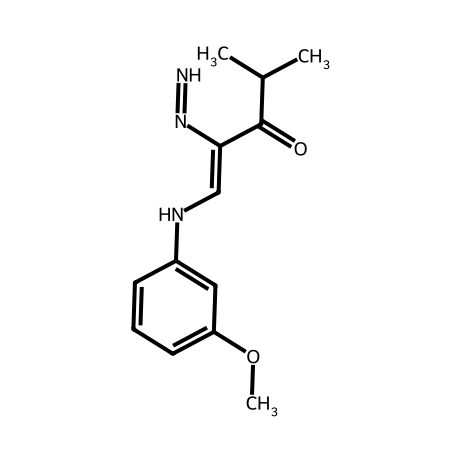 COc1cccc(N/C=C(\N=N)C(=O)C(C)C)c1